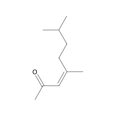 CC(=O)C=C(C)CCC(C)C